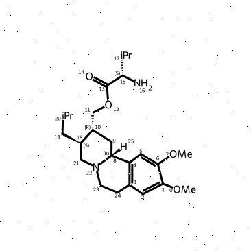 COc1cc2c(cc1OC)[C@H]1C[C@@H](COC(=O)[C@@H](N)C(C)C)[C@H](CC(C)C)CN1CC2